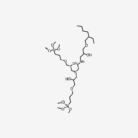 CCCCC(CC)COCC(O)CNCCN(CC(O)COCCC[Si](OC)(OC)OC)CC(O)COCCC[Si](OC)(OC)OC